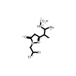 CCC(CC)CN1N=C(C(C)C(NC(=O)O)C(C)(C)C)CC1=O